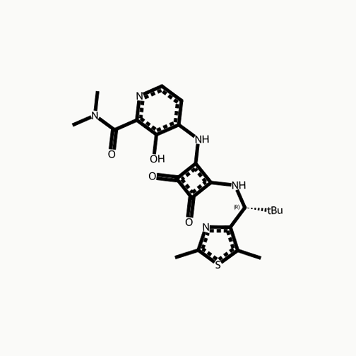 Cc1nc([C@H](Nc2c(Nc3ccnc(C(=O)N(C)C)c3O)c(=O)c2=O)C(C)(C)C)c(C)s1